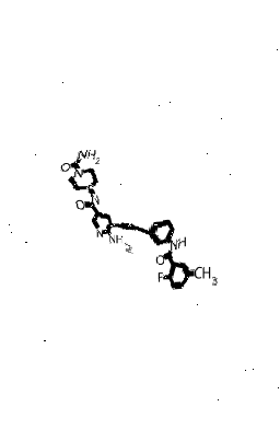 Cc1ccc(F)c(C(=O)Nc2cccc(C#Cc3cc(C(=O)N=S4CCN(C(N)=O)CC4)cnc3N)c2)c1